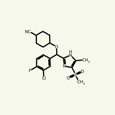 Cc1[nH]c(C(OC2CCC(C#N)CC2)c2ccc(F)c(Cl)c2)nc1S(C)(=O)=O